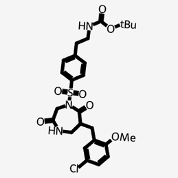 COc1ccc(Cl)cc1CC1CNC(=O)CN(S(=O)(=O)c2ccc(CCNC(=O)OC(C)(C)C)cc2)C1=O